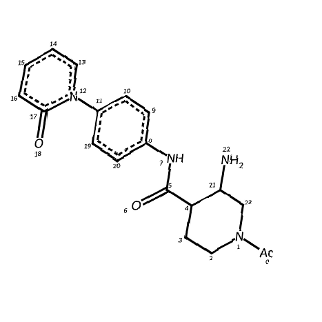 CC(=O)N1CCC(C(=O)Nc2ccc(-n3ccccc3=O)cc2)C(N)C1